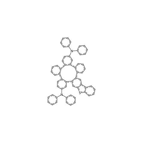 c1ccc(N(c2ccccc2)c2ccc3c4ccccc4c4ccc(N(c5ccccc5)c5ccccc5)cc4c4cc5sc6ccccc6c5cc4c4ccccc4c3c2)cc1